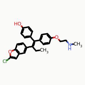 CC/C(=C(/c1ccc(O)cc1)c1ccc(OCCNC)cc1)c1ccc2oc(Cl)cc2c1